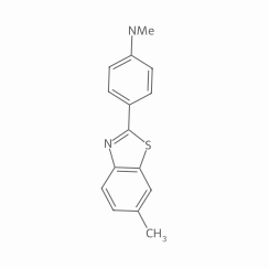 Cc1ccc2nc(-c3ccc(N[11CH3])cc3)sc2c1